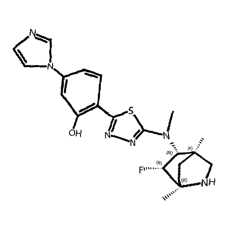 CN(c1nnc(-c2ccc(-n3ccnc3)cc2O)s1)[C@H]1[C@@H](F)[C@@]2(C)C[C@]1(C)CN2